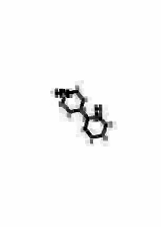 C1CCC(C2CCNCC2)NC1